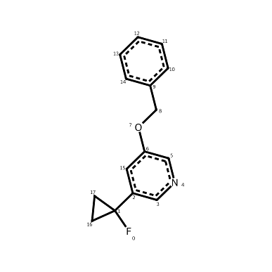 FC1(c2cncc(OCc3ccccc3)c2)CC1